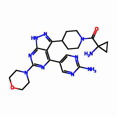 Nc1ncc(-c2nc(N3CCOCC3)nc3[nH]nc(C4CCN(C(=O)C5(N)CC5)CC4)c23)cn1